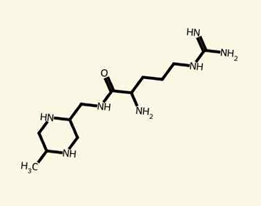 CC1CNC(CNC(=O)C(N)CCCNC(=N)N)CN1